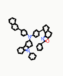 c1ccc(-c2nc3c(ccc4cccc(-c5ccc(N(c6ccc(-c7ccc8ccccc8c7)cc6)c6ccc7c(c6)c6ccccc6n7-c6ccccc6)cc5)c43)o2)cc1